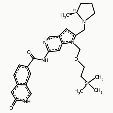 C[C@H]1CCCN1Cc1cc2cnc(NC(=O)c3ccc4cc(=O)[nH]cc4c3)cc2n1COCC[Si](C)(C)C